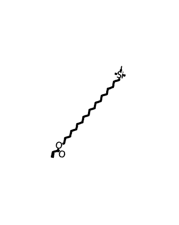 C=CC(=O)OCCCCCCCCCCCCCCCCCCC[Si](C)(C)I